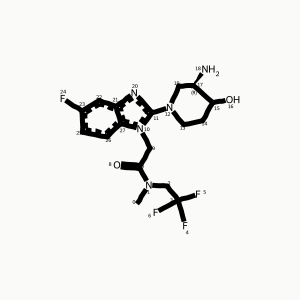 CN(CC(F)(F)F)C(=O)Cn1c(N2CCC(O)[C@H](N)C2)nc2cc(F)ccc21